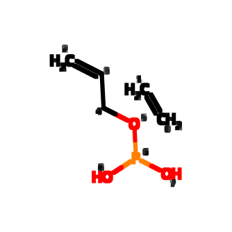 C=C.C=CCOP(O)O